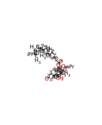 CCC[C@H]1OC2C[C@@]3(C)[C@@H]4CCC5=CC(=O)C=C[C@]5(C)C4[C@@H](O)C[C@]3(C)[C@]2(C(=O)COC(=O)CO[C@H]2CC[C@@]3(C)C(=CC[C@@H]4C3CC[C@@]3(C)C4CC[C@@H]3[C@H](C)CC[C@@H](C)C(C)C)C2)O1